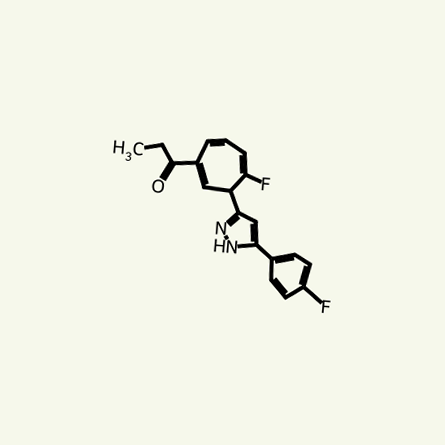 CCC(=O)C1=CC(c2cc(-c3ccc(F)cc3)[nH]n2)C(F)=CC=C1